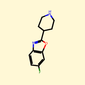 Fc1ccc2nc(C3CCNCC3)oc2c1